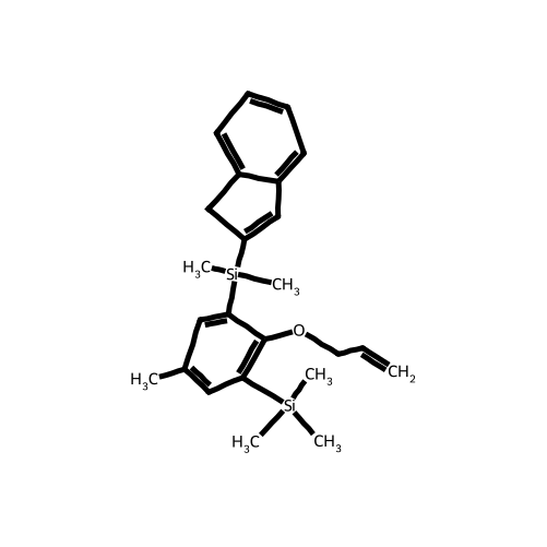 C=CCOc1c([Si](C)(C)C)cc(C)cc1[Si](C)(C)C1=Cc2ccccc2C1